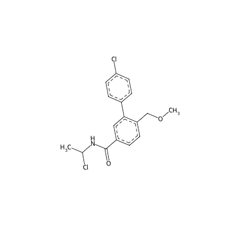 COCc1ccc(C(=O)NC(C)Cl)cc1-c1ccc(Cl)cc1